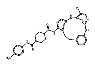 Nc1ccc(NC(=O)N2CCC(C(=O)Nc3ccc4cc3CCc3cccc(c3)Nc3ncc(Cl)c(n3)N4)CC2)cc1